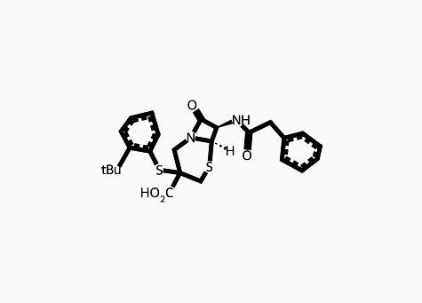 CC(C)(C)c1ccccc1SC1(C(=O)O)CS[C@@H]2[C@H](NC(=O)Cc3ccccc3)C(=O)N2C1